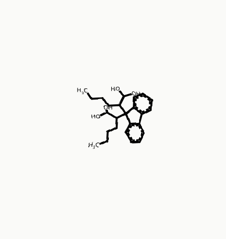 CCCCC(C(O)O)C1(C(CCCC)C(O)O)c2ccccc2-c2ccccc21